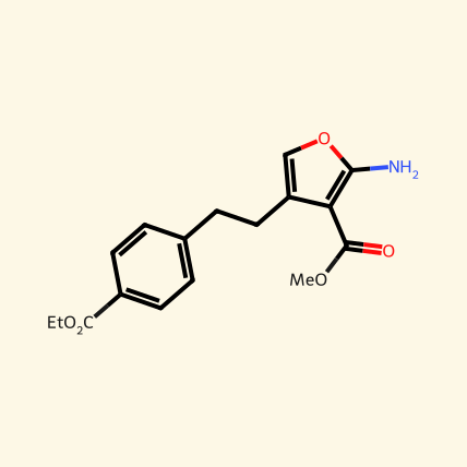 CCOC(=O)c1ccc(CCc2coc(N)c2C(=O)OC)cc1